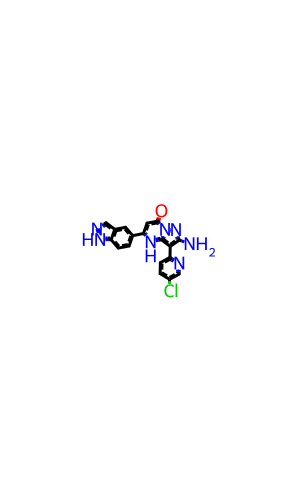 Nc1nn2c(=O)cc(-c3ccc4[nH]ncc4c3)[nH]c2c1-c1ccc(Cl)cn1